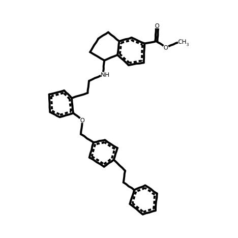 COC(=O)c1ccc2c(c1)CCCC2NCCc1ccccc1OCc1ccc(CCc2ccccc2)cc1